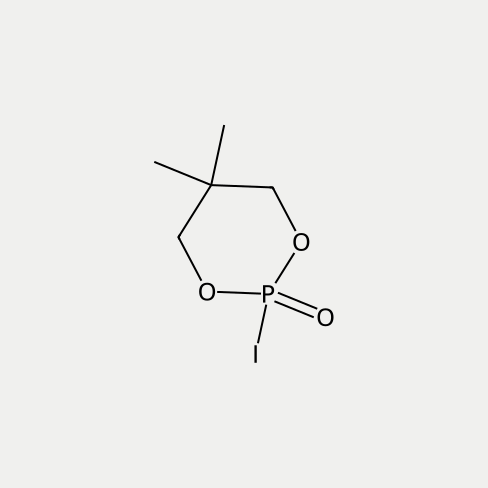 CC1(C)COP(=O)(I)OC1